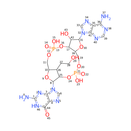 Nc1nc2c(ncn2C2OC3COP(=O)(O)OC4C(COP(=O)(O)OC2C3CCO)OC(n2cnc3c(N)ncnc32)C4O)c(=O)[nH]1